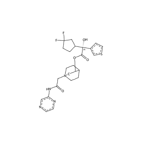 O=C(C[N+]12CCC(CC1)C(OC(=O)[C@](O)(c1ccsc1)C1CCC(F)(F)C1)C2)Nc1cnccn1